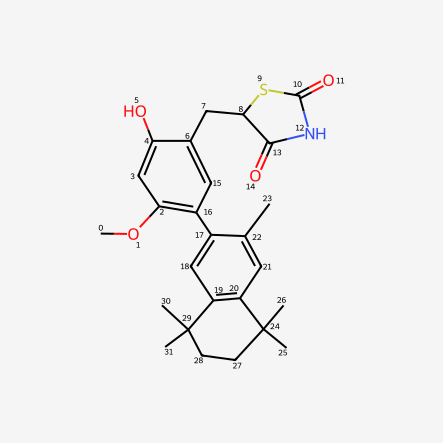 COc1cc(O)c(CC2SC(=O)NC2=O)cc1-c1cc2c(cc1C)C(C)(C)CCC2(C)C